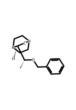 C[C@@H](OCc1ccccc1)[C@@H]1CN2CCN1CC2